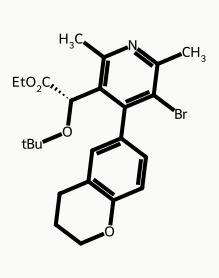 CCOC(=O)[C@@H](OC(C)(C)C)c1c(C)nc(C)c(Br)c1-c1ccc2c(c1)CCCO2